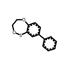 [c]1ccccc1-c1ccc2c(c1)SOCCO2